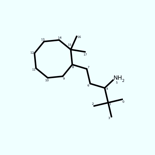 CC(C)(C)C(N)CCC1CCCCCCC1(C)C